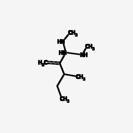 C=C(C(C)CC)[SiH](NC)NC